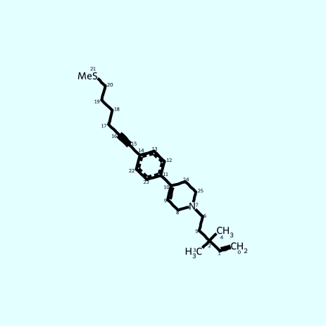 C=CC(C)(C)CCN1CC=C(c2ccc(C#CCCCCSC)cc2)CC1